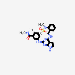 CN(C)C(=O)c1cccc(Nc2nc(NCc3ccccc3N(C)S(C)(=O)=O)c3cc[nH]c3n2)c1